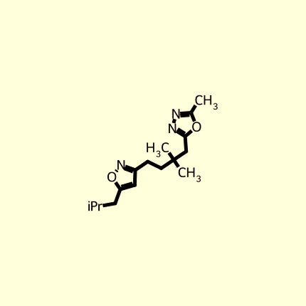 Cc1nnc(CC(C)(C)CCc2cc(CC(C)C)on2)o1